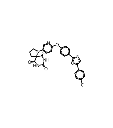 O=C1NC(=O)C2(CCCN2c2ccc(Oc3ccc(-c4ncc(-c5ccc(Cl)cc5)o4)cc3)nc2)C(=O)N1